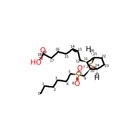 CCCCCCS(=O)(=O)C[C@H]1[C@@H](C/C=C\CCCC(=O)O)[C@H]2CC[C@@H]1S2